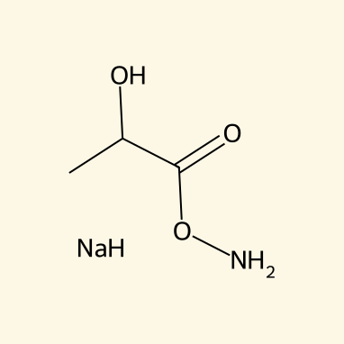 CC(O)C(=O)ON.[NaH]